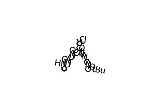 Cc1cc(CC(OC(=O)N2CCC(N3CCc4ccccc4NC3=O)CC2)C(=O)N2CCN(C3CCN(C(=O)OC(C)(C)C)CC3)CC2)cc(C)c1Cl